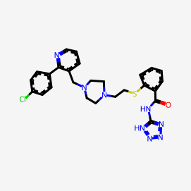 O=C(Nc1nnn[nH]1)c1ccccc1SCCN1CCN(Cc2cccnc2-c2ccc(Cl)cc2)CC1